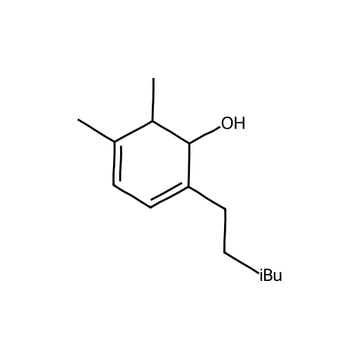 CCC(C)CCC1=CC=C(C)C(C)C1O